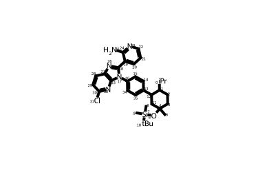 CC(C)C1CCC(C)(O[Si](C)(C)C(C)(C)C)CC1c1ccc(-n2c(-c3cccnc3N)nc3ccc(Cl)nc32)cc1